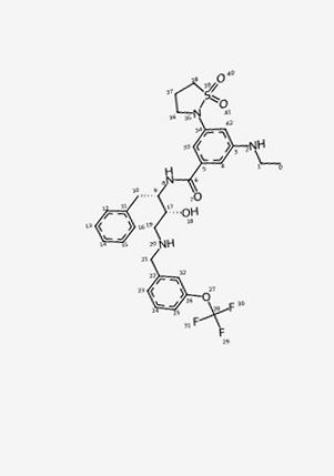 CCNc1cc(C(=O)N[C@@H](Cc2ccccc2)[C@H](O)CNCc2cccc(OC(F)(F)F)c2)cc(N2CCCS2(=O)=O)c1